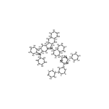 c1ccc(-c2cccc(-c3nc(-c4ccccc4)nc(-c4ccc(-n5c6cc7ccccc7cc6c6cc7c8ccccc8n(-c8ccccc8)c7cc65)c5ccccc45)n3)c2)cc1